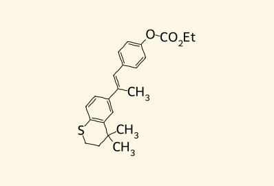 CCOC(=O)Oc1ccc(C=C(C)c2ccc3c(c2)C(C)(C)CCS3)cc1